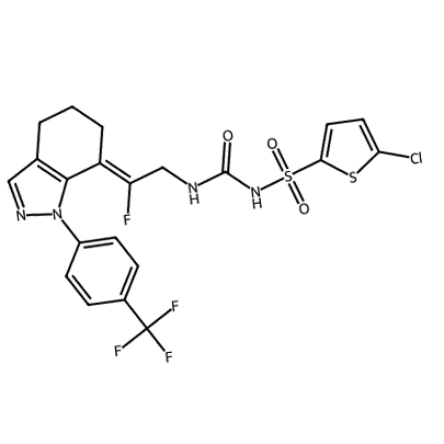 O=C(NC/C(F)=C1\CCCc2cnn(-c3ccc(C(F)(F)F)cc3)c21)NS(=O)(=O)c1ccc(Cl)s1